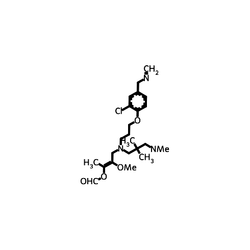 C=NCc1ccc(OCCCN(C/C(OC)=C(\C)OC=O)CC(C)(C)CNC)c(Cl)c1